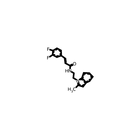 Cc1cc2ccccc2n1CCNC(=O)C=Cc1ccc(F)c(F)c1